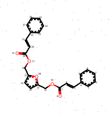 O=C(/C=C/c1ccccc1)OCc1ccc(COC(=O)/C=C/c2ccccc2)o1